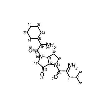 CC(C)CC(N)C(=O)N1CCC2C1C(=O)CN2C(=O)C(N)C1CCCCC1